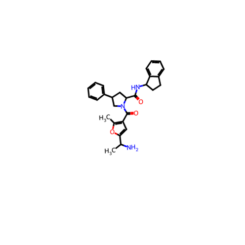 Cc1oc(C(C)N)cc1C(=O)N1CC(c2ccccc2)CC1C(=O)NC1CCc2ccccc21